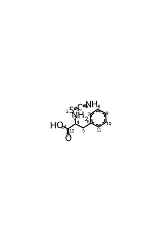 N=C=S.NC(Cc1ccccc1)C(=O)O